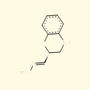 CON=C[C@@H]1CNc2ccccc2O1